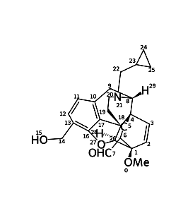 CO[C@]12C=C[C@@]3(C[C@@H]1C=O)[C@H]1Cc4ccc(CO)c5c4[C@@]3(CCN1CC1CC1)C2O5